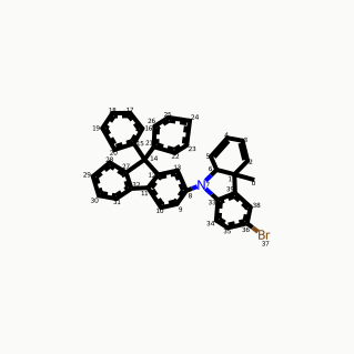 CC12C=CC=CC1N(c1ccc3c(c1)C(c1ccccc1)(c1ccccc1)c1ccccc1-3)c1ccc(Br)cc12